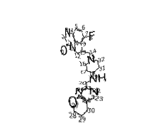 O=c1cnc2ccc(F)c3c2n1CC3CN1CCC(NCc2ncc3c(n2)OCCC3)CC1